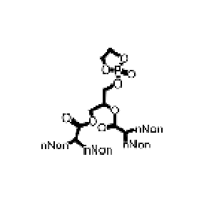 CCCCCCCCCC(CCCCCCCCC)C(=O)OCC(COP1(=O)OCCO1)OC(=O)C(CCCCCCCCC)CCCCCCCCC